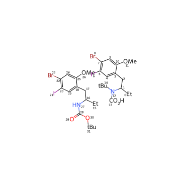 CCC(Cc1cc(I)c(Br)cc1OC)N(C(=O)O)C(C)(C)C.CCC(Cc1cc(I)c(Br)cc1OC)NC(=O)OC(C)(C)C